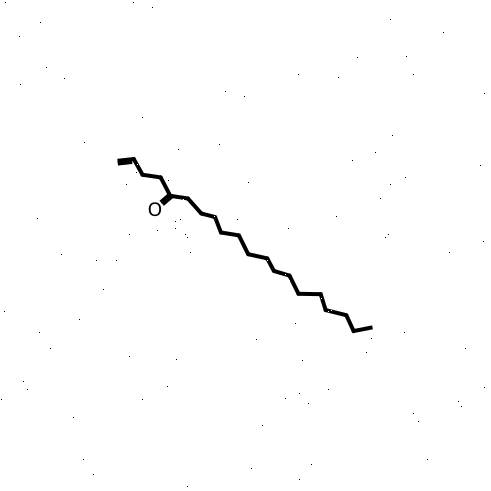 C=CCCC(=O)CCCCCCCCCCCCCCC